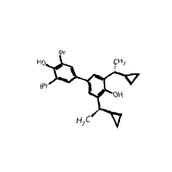 CC(C)c1cc(-c2cc([C@H](C)C3CC3)c(O)c([C@H](C)C3CC3)c2)cc(C(C)C)c1O